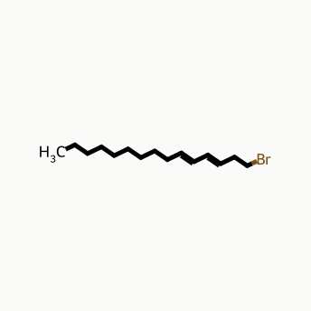 CCCCCCCCCC=CC=CCCBr